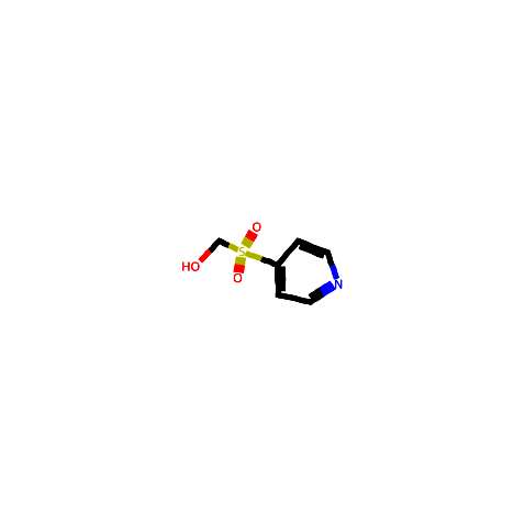 O=S(=O)(CO)c1ccncc1